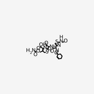 NC(=O)OCC1=C(C(=O)O)N2C(=O)C(NC(=O)/C(=N\OC3C=CCCC3)c3csc(NC=O)n3)[C@H]2SC1